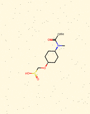 COC(=O)N(C)[C@H]1CC[C@@H](OCS(=O)O)CC1